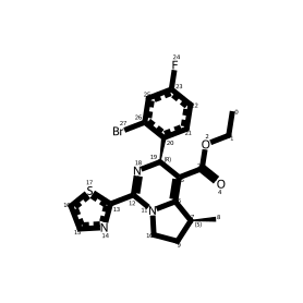 CCOC(=O)C1=C2[C@@H](C)CCN2C(c2nccs2)=N[C@H]1c1ccc(F)cc1Br